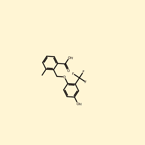 Cc1cccc(C(=O)O)c1COc1ccc(O)cc1C(F)(F)F